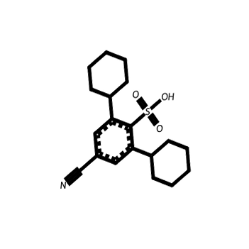 N#Cc1cc(C2CCCCC2)c(S(=O)(=O)O)c(C2CCCCC2)c1